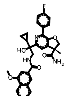 COc1cc(C(=O)NCC(O)(c2cc3c(c(-c4ccc(F)cc4)n2)OC[C@]3(C)C(N)=O)C2CC2)cc2ccccc12